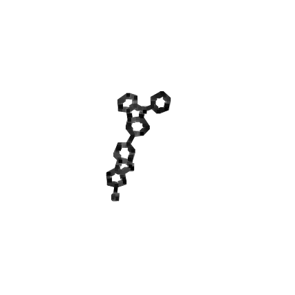 Clc1ccc2c(c1)sc1cc(-c3ccc4c(c3)c3ccccc3n4-c3ccccc3)ccc12